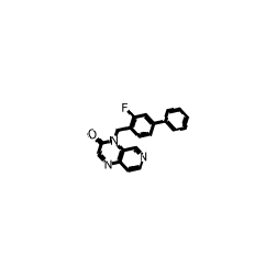 O=c1cnc2ccncc2n1Cc1ccc(-c2ccccc2)cc1F